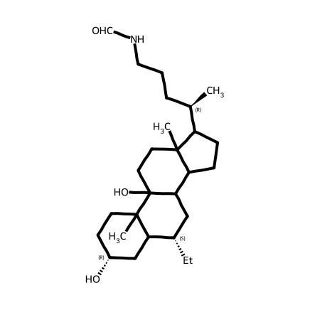 CC[C@H]1CC2C3CCC([C@H](C)CCCNC=O)C3(C)CCC2(O)C2(C)CC[C@@H](O)CC12